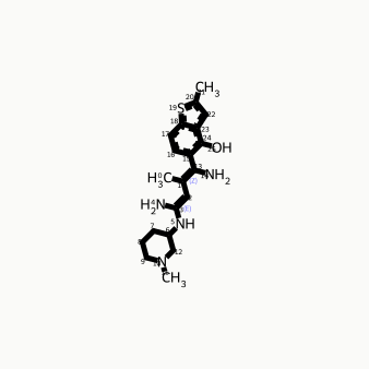 CC(/C=C(\N)NC1CCCN(C)C1)=C(/N)c1ccc2sc(C)cc2c1O